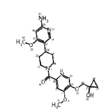 COc1cc(C(=O)N2CCC(c3cnc(N)cc3OC)CC2)ncc1OCC1(O)CC1